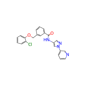 O=C(Nc1cnn(-c2cccnc2)c1)c1cccc(COc2ccccc2Cl)c1